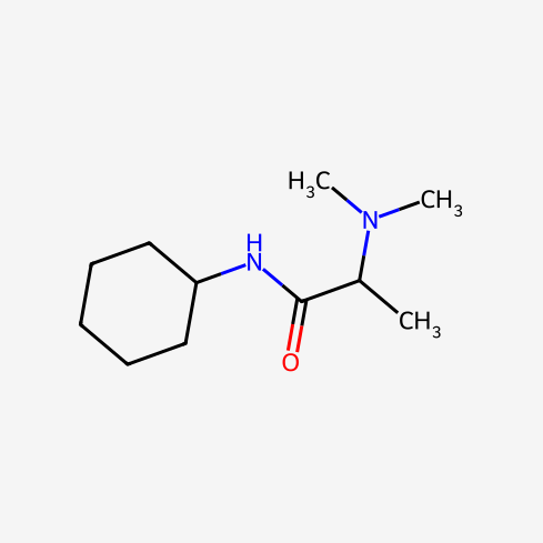 CC(C(=O)NC1CCCCC1)N(C)C